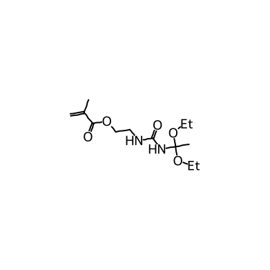 C=C(C)C(=O)OCCNC(=O)NC(C)(OCC)OCC